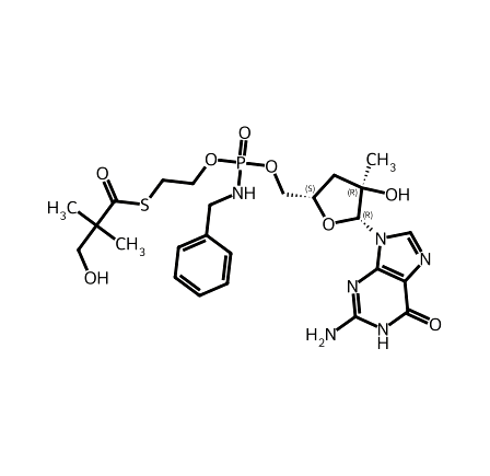 CC(C)(CO)C(=O)SCCOP(=O)(NCc1ccccc1)OC[C@@H]1C[C@@](C)(O)[C@H](n2cnc3c(=O)[nH]c(N)nc32)O1